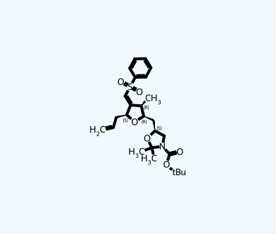 C=CC[C@@H]1O[C@H](C[C@H]2CN(C(=O)OC(C)(C)C)C(C)(C)O2)[C@H](C)C1=CS(=O)(=O)c1ccccc1